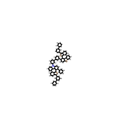 c1ccc(-c2cccc(-c3sc(-c4c(-c5cccc(-c6cccc(-n7c8ccccc8c8c(-c9sc(-c%10cccc(-c%11ccccc%11)c%10)c%10ccccc9%10)c(-c9ccccc9)ccc87)c6)c5)ccc5sc6ccccc6c45)c4ccccc34)c2)cc1